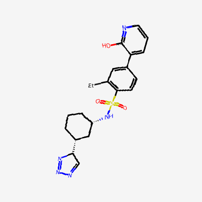 CCc1cc(-c2cccnc2O)ccc1S(=O)(=O)N[C@H]1CCC[C@@H](C2C=NN=N2)C1